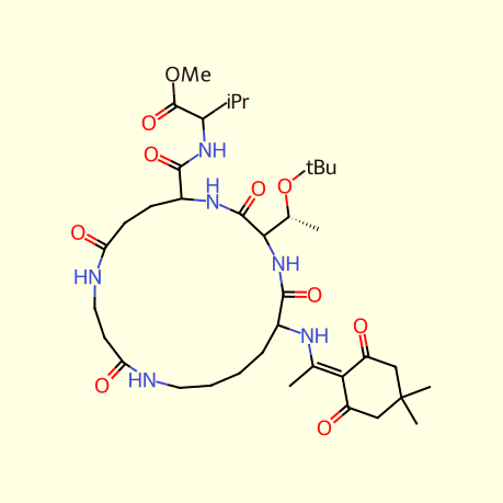 COC(=O)C(NC(=O)C1CCC(=O)NCCC(=O)NCCCCC(NC(C)=C2C(=O)CC(C)(C)CC2=O)C(=O)NC([C@@H](C)OC(C)(C)C)C(=O)N1)C(C)C